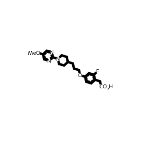 COc1cnc(N2CCC(CCCOc3ccc(CC(=O)O)c(F)c3)CC2)nc1